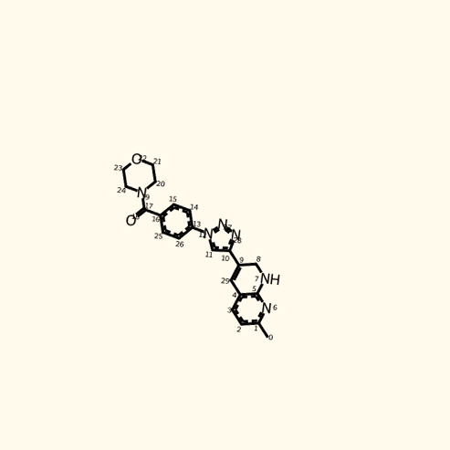 Cc1ccc2c(n1)NCC(c1cn(-c3ccc(C(=O)N4CCOCC4)cc3)nn1)=C2